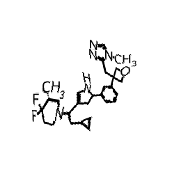 C[C@@H]1CN(C(CC2CC2)C2=CNC(c3cccc(C4(Cc5nncn5C)COC4)c3)C2)CCC1(F)F